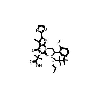 CCC[C@H](OC(Cn1c(=O)n(C(C)(C)C(=O)O)c(=O)c2c(C)c(-c3ncco3)sc21)c1ccccc1OC)C(C)(C)C(C)(C)C